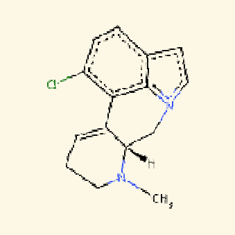 CN1CCC=C2c3c(Cl)ccc4ccn(c34)C[C@@H]21